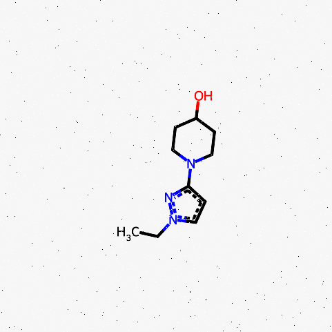 CCn1ccc(N2CCC(O)CC2)n1